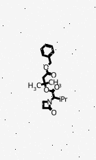 CC(C)C(C(=O)OC(C)(C)CC(=O)OCc1ccccc1)N1CCC1=O